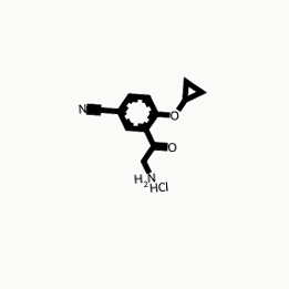 Cl.N#Cc1ccc(OC2CC2)c(C(=O)CN)c1